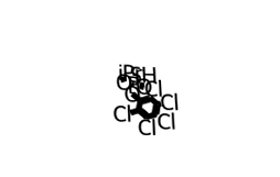 CC(C)OP(=O)(S)Oc1c(Cl)c(Cl)c(Cl)c(Cl)c1Cl